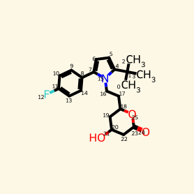 CC(C)(C)c1ccc(-c2ccc(F)cc2)n1CCC1CC(O)CC(=O)O1